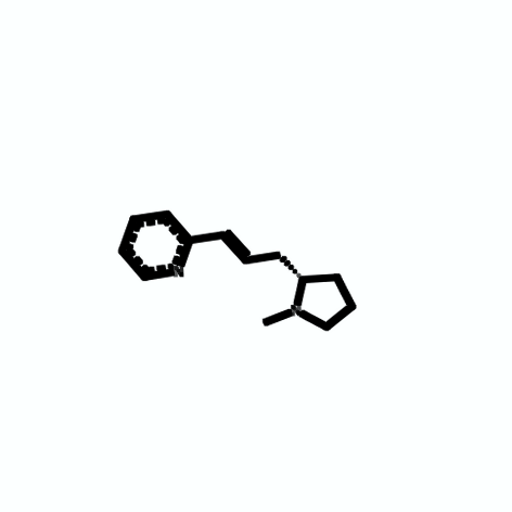 CN1CCC[C@H]1C/C=C/c1ccccn1